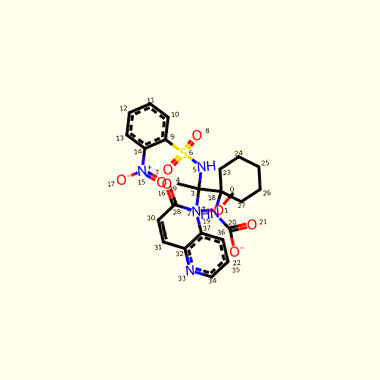 CO[N+]1(C(C)(NS(=O)(=O)c2ccccc2[N+](=O)[O-])C2(NC(=O)[O-])CCCCC2)C(=O)C=Cc2ncccc21